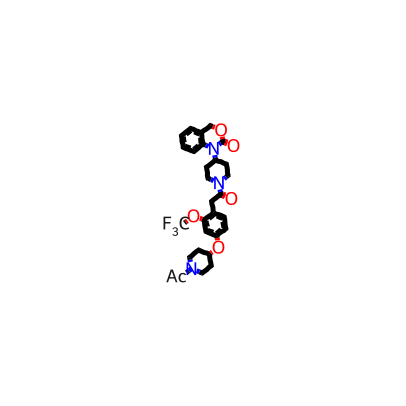 CC(=O)N1CCC(Oc2ccc(CC(=O)N3CCC(N4C(=O)OCc5ccccc54)CC3)c(OC(F)(F)F)c2)CC1